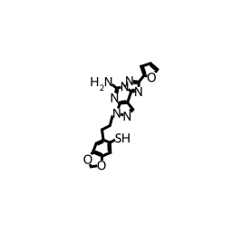 Nc1nc2c(cnn2CCCc2cc3c(cc2S)OCO3)c2nc(-c3ccco3)nn12